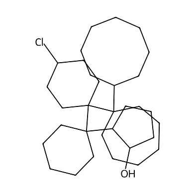 OC1CCCC1C1(C2(C3(C4CCCCCCC4)CCCCCC3)CCC(Cl)CC2)CCCCC1